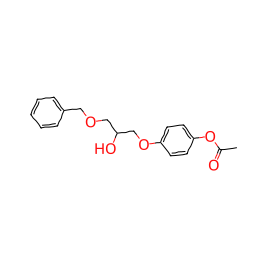 CC(=O)Oc1ccc(OCC(O)COCc2ccccc2)cc1